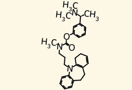 C[C@@H](c1cccc(OC(=O)N(C)CCCN2C3=C(C=CCC3)CCc3ccccc32)c1)N(C)C